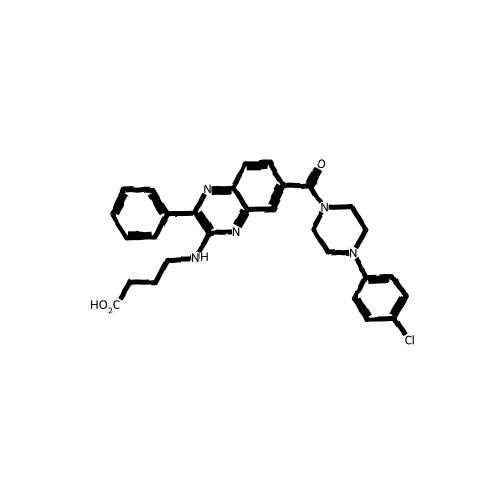 O=C(O)CCCNc1nc2cc(C(=O)N3CCN(c4ccc(Cl)cc4)CC3)ccc2nc1-c1ccccc1